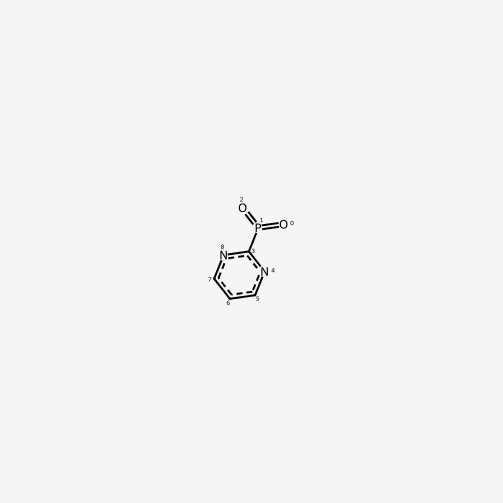 O=P(=O)c1ncccn1